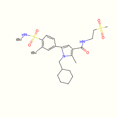 Cc1c(C(=O)NCCS(C)(=O)=O)cc(-c2ccc(S(=O)(=O)NC(C)(C)C)c(C(C)(C)C)c2)n1CC1CCCCC1